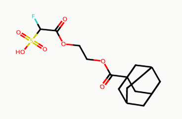 O=C(OCCOC(=O)C12CC3CC(CC(C3)C1)C2)C(F)S(=O)(=O)O